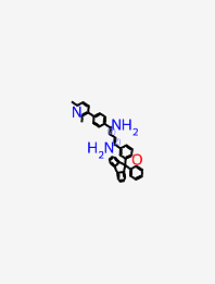 Cc1ccc(-c2ccc(/C(N)=C/C=C(\N)c3ccc4c(c3)C3(c5ccccc5O4)c4ccccc4-c4ccccc43)cc2)c(C)n1